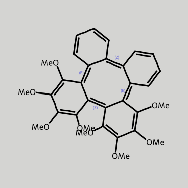 COc1c(OC)c(OC)c2/c(c1OC)=c1/c(OC)c(OC)c(OC)c(OC)/c1=c1\cccc\c1=c1/cccc/c1=2